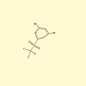 O=S(=O)(c1[c]c(Br)cc(Br)c1)C(F)(F)F